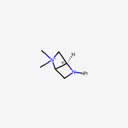 CC(C)N1CC2[C@H]1C[N+]2(C)C